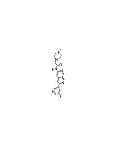 CN1CCN(CC(=O)Nc2cc3cc(-c4cncc(F)c4)ncc3cn2)CC1